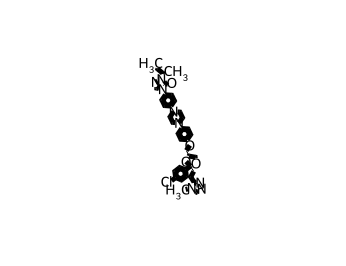 CC[C@@H](C)n1ncn(-c2ccc(N3CCN(c4ccc(OC[C@@H]5CO[C@@](CCc6nncn6C)(c6ccc(Cl)cc6)O5)cc4)CC3)cc2)c1=O